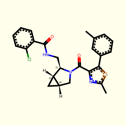 Cc1cccc(-c2sc(C)nc2C(=O)N2C[C@@H]3C[C@@H]3[C@H]2CNC(=O)c2ccccc2Cl)c1